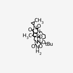 Cc1c(CN(NC(=O)OC(C)(C)C)C(N)=O)sc2c1c(=O)n([C@H]1C[C@@H]1C)c(=O)n2C[C@H]1CCCO1